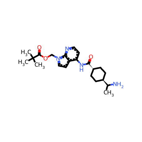 CC(N)[C@H]1CC[C@H](C(=O)Nc2ccnc3c2ccn3COC(=O)C(C)(C)C)CC1